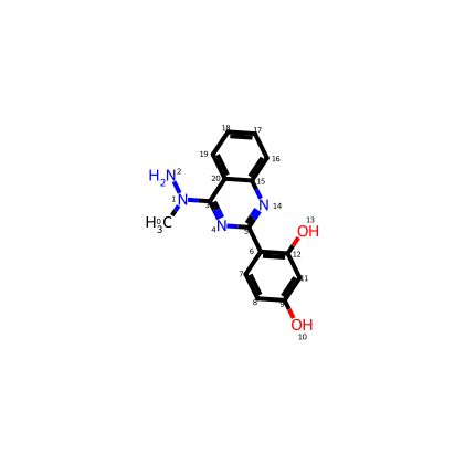 CN(N)c1nc(-c2ccc(O)cc2O)nc2ccccc12